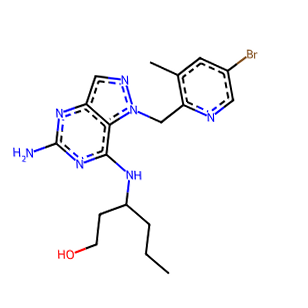 CCCC(CCO)Nc1nc(N)nc2cnn(Cc3ncc(Br)cc3C)c12